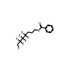 O=C(SCCCC(F)(F)C(F)(F)C(F)(F)CF)c1ccccc1